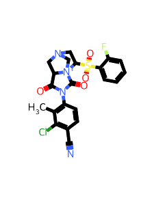 Cc1c(N2C(=O)C3CN4CC(S(=O)(=O)c5ccccc5F)[N+]3(C4)C2=O)ccc(C#N)c1Cl